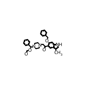 Cc1c[nH]c2cc(OCc3ccccc3)c(C(=O)CN3CCN(C(OC=O)c4ccccc4)CC3)cc12